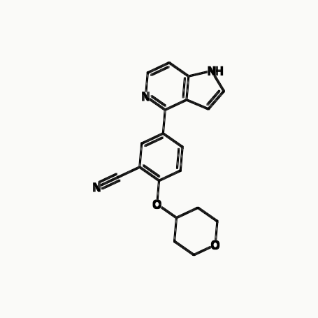 N#Cc1cc(-c2nccc3[nH]ccc23)ccc1OC1CCOCC1